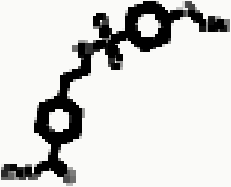 CCCCOc1ccc(S(=O)(=O)NCCc2ccc(C(=O)OC)cc2)cc1